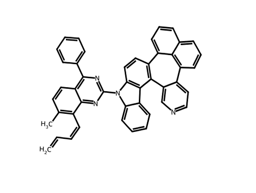 C=C/C=C\c1c(C)ccc2c(-c3ccccc3)nc(-n3c4ccccc4c4c5c(ccc43)-c3cccc4cccc(c34)-c3ccncc3-5)nc12